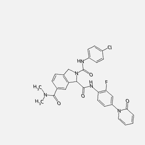 CN(C)C(=O)c1ccc2c(c1)C(C(=O)Nc1ccc(-n3ccccc3=O)cc1F)N(C(=O)Nc1ccc(Cl)cc1)C2